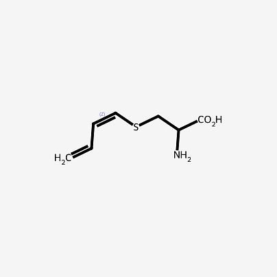 C=C/C=C\SCC(N)C(=O)O